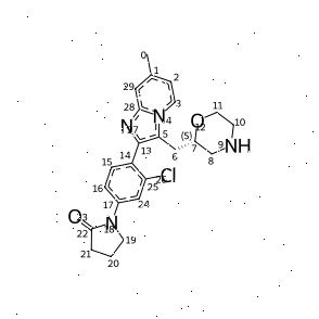 Cc1ccn2c(C[C@H]3CNCCO3)c(-c3ccc(N4CCCC4=O)cc3Cl)nc2c1